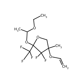 C=COC1(C)COC(OC(C)OCC)(C(F)(F)F)C1(F)F